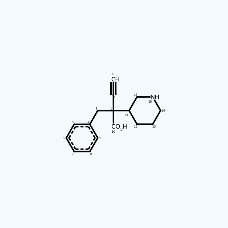 C#CC(Cc1ccccc1)(C(=O)O)C1CCCNC1